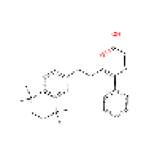 CC1(C)CCC(C)(C)c2cc(CC/C=C(/C=C\C(=O)O)c3ccccc3)ccc21